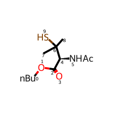 CCCCOC(=O)[C@H](NC(C)=O)C(C)(C)S